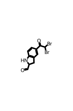 O=CC1Cc2cc(C(=O)C(Br)Br)ccc2N1